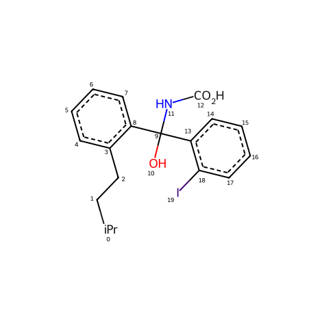 CC(C)CCc1ccccc1C(O)(NC(=O)O)c1ccccc1I